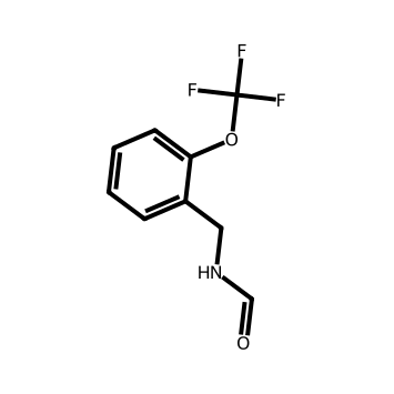 O=CNCc1ccccc1OC(F)(F)F